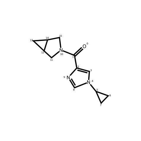 O=C(c1cn(C2CC2)cn1)N1CC2CC2C1